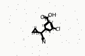 N#CC(c1cc(Cl)cc(C(=O)O)c1)C1CC1